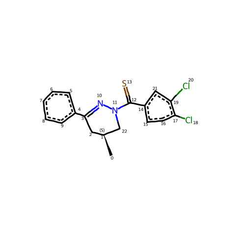 C[C@H]1CC(c2ccccc2)=NN(C(=S)c2ccc(Cl)c(Cl)c2)C1